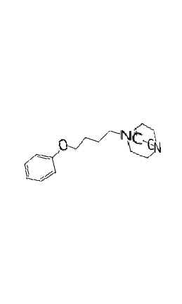 c1ccc(OCCCC[N+]23CCN(CC2)CC3)cc1